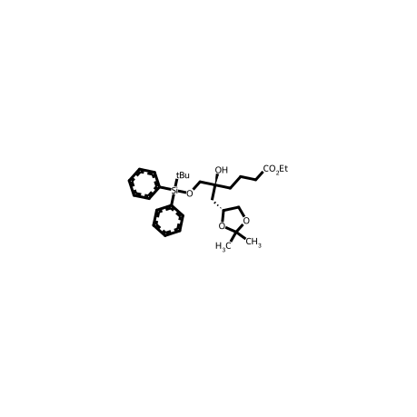 CCOC(=O)CCC[C@@](O)(CO[Si](c1ccccc1)(c1ccccc1)C(C)(C)C)C[C@@H]1COC(C)(C)O1